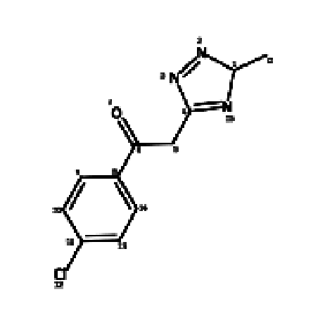 CC1N=NC(CC(=O)c2ccc(Cl)cc2)=N1